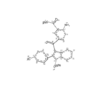 COC(=O)c1cc(C(=O)c2c(-c3ccc(O)cc3)c(OC)c3ccccn23)ccc1N